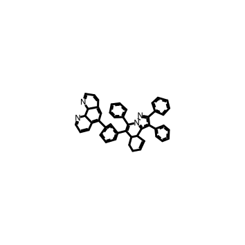 C1=CC2=CC(c3cccc(C4=C(c5ccccc5)n5nc(-c6ccccc6)c(-c6ccccc6)c5C5C=CCCC45)c3)=C3C=CC=NC3C2N=C1